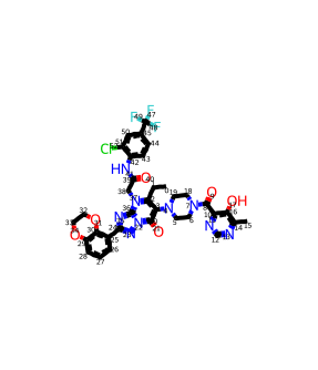 CCc1c(N2CCN(C(=O)c3ncnc(C)c3O)CC2)c(=O)n2nc(-c3cccc4c3OCCO4)nc2n1CC(=O)Nc1ccc(C(F)(F)F)cc1Cl